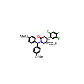 COc1ccc(C(c2ccc(OC)cc2)N2C[C@H](C(=O)O)[C@@H](c3cc(F)c(F)cc3F)CC2=O)cc1